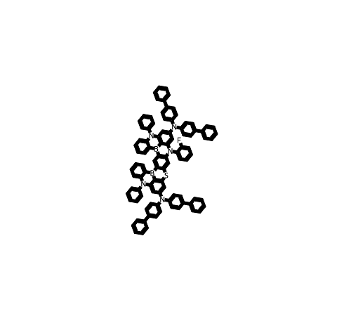 Fc1ccccc1N1c2cc3c(cc2B2c4ccccc4N(c4ccccc4)c4cc(N(c5ccc(-c6ccccc6)cc5)c5ccc(-c6ccccc6)cc5)cc1c42)B1c2ccccc2N(c2ccccc2)c2cc(N(c4ccc(-c5ccccc5)cc4)c4ccc(-c5ccccc5)cc4)cc(c21)S3